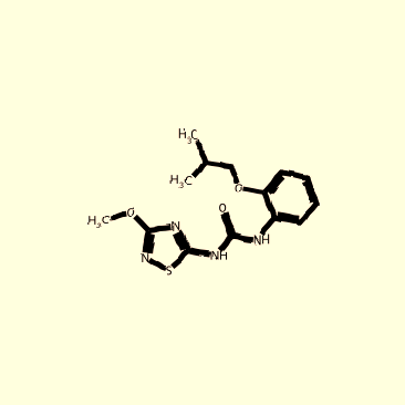 COc1nsc(NC(=O)Nc2ccccc2OCC(C)C)n1